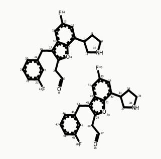 O=CCc1oc2c(C3CCNC3)cc(F)cc2c1Cc1cccc(F)c1.O=CCc1oc2c(C3CCNC3)cc(F)cc2c1Cc1cccc(F)c1